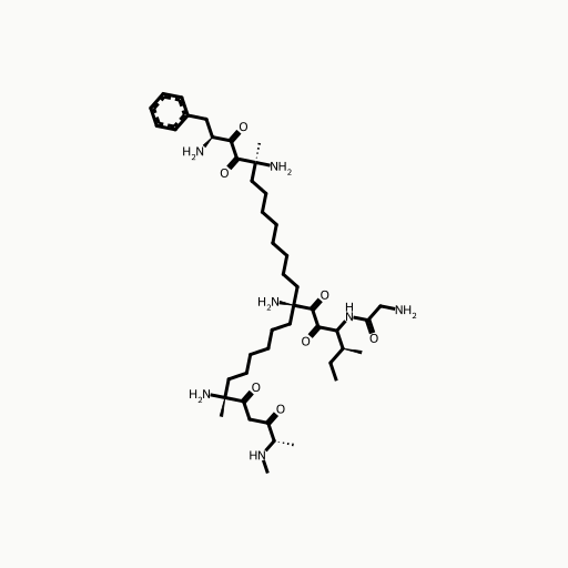 CC[C@H](C)C(NC(=O)CN)C(=O)C(=O)[C@@](N)(CCCCCCCC[C@](C)(N)C(=O)C(=O)[C@@H](N)Cc1ccccc1)CCCCCC[C@@](C)(N)C(=O)CC(=O)[C@H](C)NC